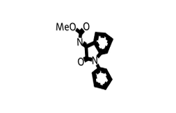 COC(=O)/N=C1/C(=O)N(c2ccccc2)c2ccccc21